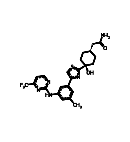 Cc1cc(Nc2nccc(C(F)(F)F)n2)cc(-c2csc([C@]3(O)CC[C@H](CC(N)=O)CC3)n2)c1